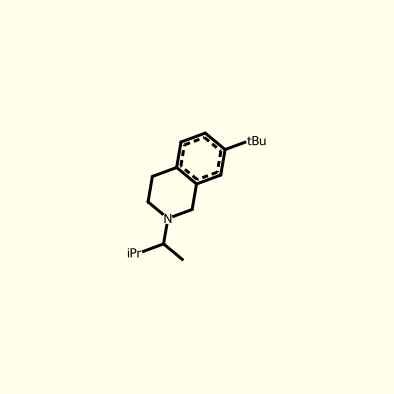 CC(C)C(C)N1CCc2ccc(C(C)(C)C)cc2C1